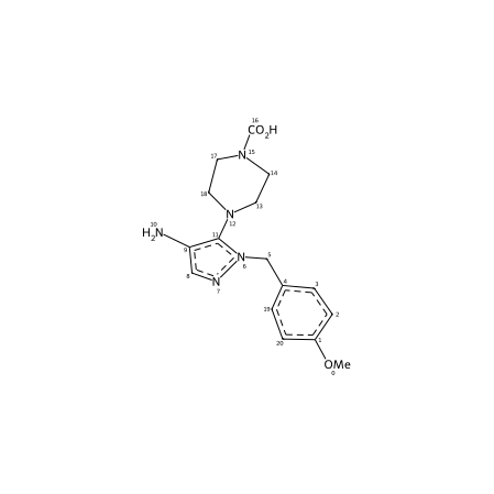 COc1ccc(Cn2ncc(N)c2N2CCN(C(=O)O)CC2)cc1